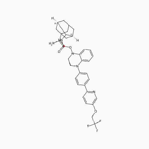 NC(=O)C12CC3C[C@H](C1)C(NC(=O)ON1CCN(c4ccc(-c5ccc(OCC(F)(F)F)cn5)cc4)c4ccccc41)[C@@H](C3)C2